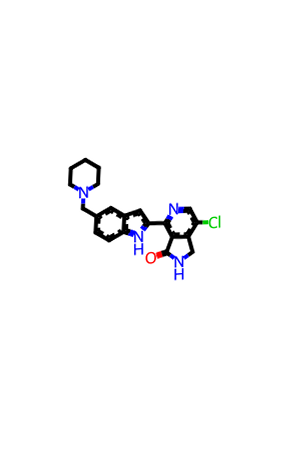 O=C1NCc2c(Cl)cnc(-c3cc4cc(CN5CCCCC5)ccc4[nH]3)c21